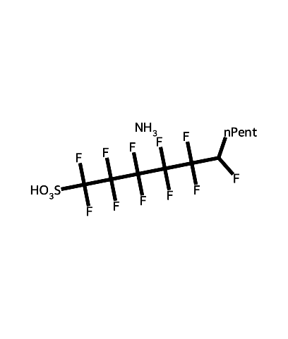 CCCCCC(F)C(F)(F)C(F)(F)C(F)(F)C(F)(F)C(F)(F)S(=O)(=O)O.N